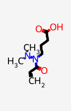 C=CC(=O)N(CCCC(=O)O)N(C)C